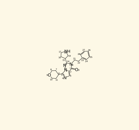 O=c1c2cnc(C3CCOCC3)n2nc(C2CCNC2)n1CCc1ccccc1